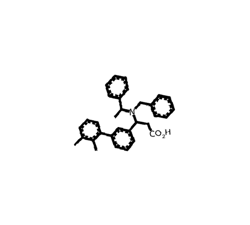 Cc1cccc(-c2cccc(C(CC(=O)O)N(Cc3ccccc3)C(C)c3ccccc3)c2)c1C